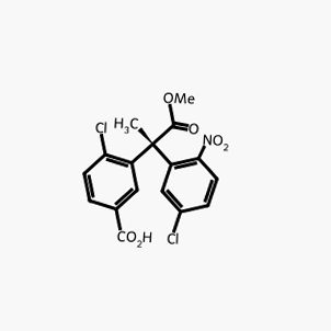 COC(=O)[C@@](C)(c1cc(C(=O)O)ccc1Cl)c1cc(Cl)ccc1[N+](=O)[O-]